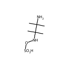 CC(C)(N)C(C)(C)NOS(=O)(=O)O